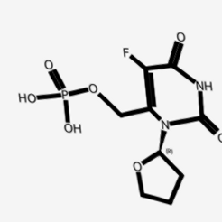 O=c1[nH]c(=O)n([C@H]2CCCO2)c(COP(=O)(O)O)c1F